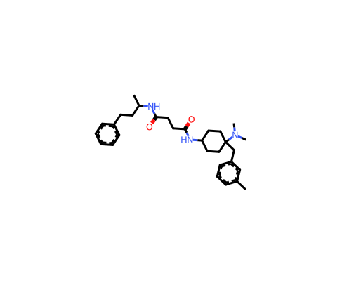 Cc1cccc(CC2(N(C)C)CCC(NC(=O)CCC(=O)NC(C)CCc3ccccc3)CC2)c1